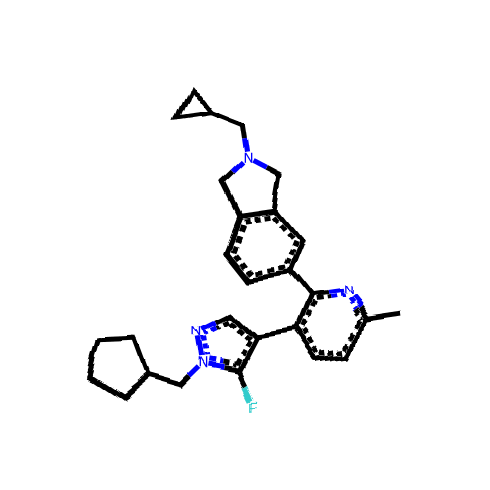 Cc1ccc(-c2cnn(CC3CCCC3)c2F)c(-c2ccc3c(c2)CN(CC2CC2)C3)n1